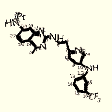 Cc1nc(N/C=C/c2ccc(Nc3cccc(C(F)(F)F)c3)cn2)nc2cc(NC(C)C)ccc12